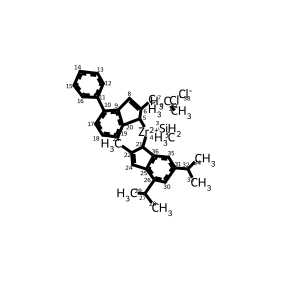 CC.C[SiH2][Zr+2]([CH]1C(C)=Cc2c(-c3ccccc3)cccc21)[CH]1C(C)=Cc2c(C(C)C)cc(C(C)C)cc21.[Cl-].[Cl-]